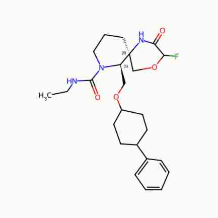 CCNC(=O)N1CCC[C@]2(COC(F)C(=O)N2)[C@H]1COC1CCC(c2ccccc2)CC1